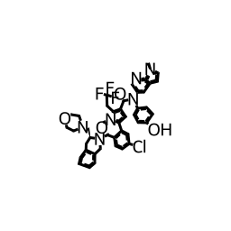 Cn1c(-c2cc(Cl)ccc2C(=O)N2Cc3ccccc3C[C@H]2CN2CCOCC2)cc(C(=O)N(c2ccc(O)cc2)c2cnc3c(ccn3C)c2)c1CC(F)(F)F